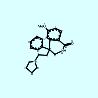 COc1ccc2c(c1)C(CCN1CCCC1)(c1ccccc1)CNC2=O